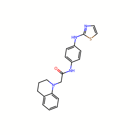 O=C(CN1CCCc2ccccc21)Nc1ccc(Nc2nccs2)cc1